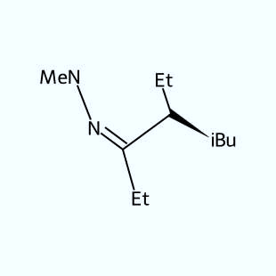 CCC(=NNC)C(CC)[C@H](C)CC